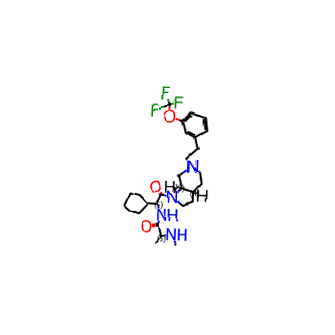 CN[C@@H](C)C(=O)N[C@H](C(=O)N1CC[C@H]2CCN(CCc3cccc(OC(F)(F)F)c3)C[C@H]21)C1CCCCC1